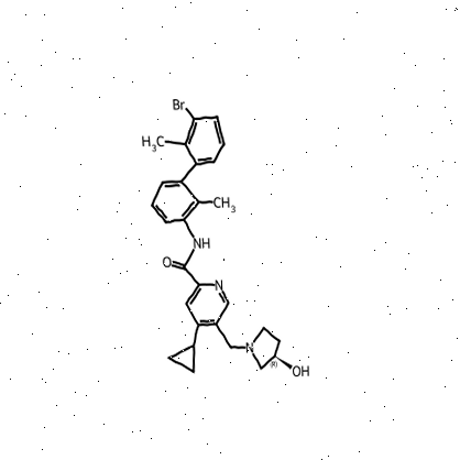 Cc1c(Br)cccc1-c1cccc(NC(=O)c2cc(C3CC3)c(CN3CC[C@@H](O)C3)cn2)c1C